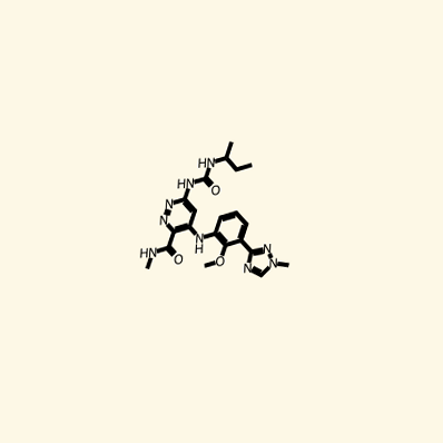 CCC(C)NC(=O)Nc1cc(Nc2cccc(-c3ncn(C)n3)c2OC)c(C(=O)NC)nn1